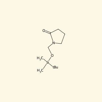 CC(C)(C)[Si](C)(C)OCN1CCCC1=O